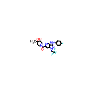 CC1(O)CCN(C(=O)c2cc3c(cn2)c(Nc2ccc(F)cc2)nn3CC(F)(F)F)CC1